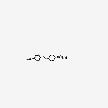 CC#Cc1ccc(CCC2CCC(CCCCC)CC2)cc1